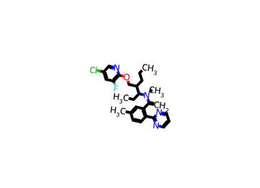 C=C(c1cc(C)ccc1-c1ncccn1)N(C)C(CC)C(CCC)COc1ncc(Cl)cc1F